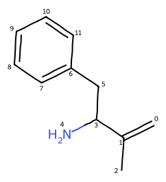 C=C(C)C(N)Cc1ccccc1